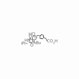 CCCCN1C(=O)[C@H](CC(C)C)NC(=O)C12CCN(Cc1ccc(CCC(=O)O)cc1)CC2.Cl